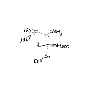 CCCCCCCC(C)(SCC)C(N)C(=O)O.Cl